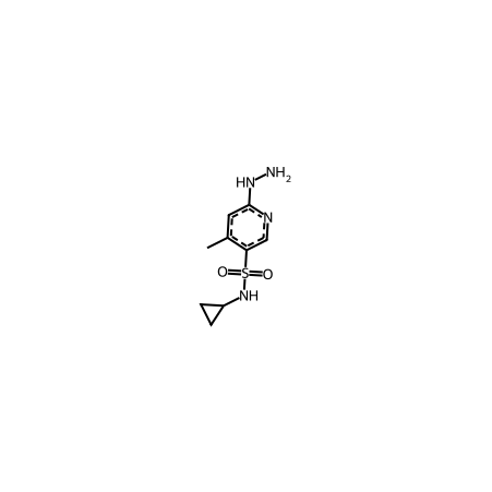 Cc1cc(NN)ncc1S(=O)(=O)NC1CC1